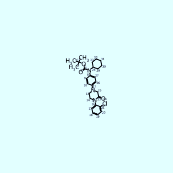 CC(C)(C)OC(=O)N(c1ccc(N2CCN(c3ccccc3Cl)C(=O)C2)cc1)C1CCCCC1